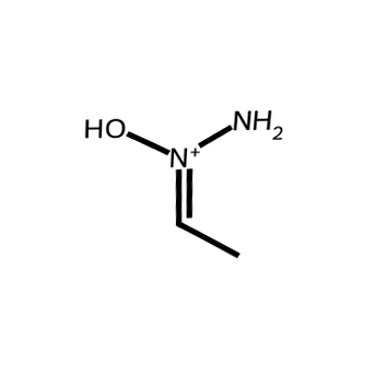 C/C=[N+](\N)O